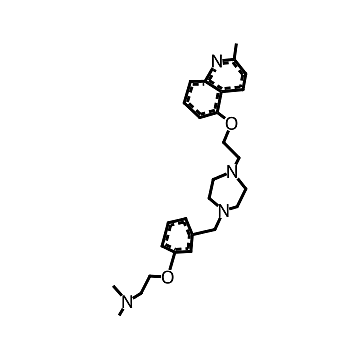 Cc1ccc2c(OCCN3CCN(Cc4cccc(OCCN(C)C)c4)CC3)cccc2n1